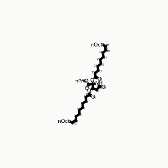 CCCCCCCC/C=C\CCCCCCCC(=O)OC1CC(=O)N[C@]1(OC(=O)CCCCCCC/C=C\CCCCCCCC)C(=O)OCCC